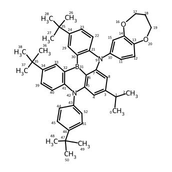 CC(C)c1cc2c3c(c1)N(c1ccc4c(c1)OCCCO4)c1ccc(C(C)(C)C)cc1B3c1cc(C(C)(C)C)ccc1N2c1ccc(C(C)(C)C)cc1